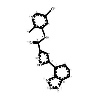 Cc1ncc(Cl)cc1NC(=O)c1cc(-c2cccc3[nH]nnc23)on1